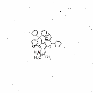 CC(=CC1=C(OC(c2ccccc2)c2ccccc2)N2C(=O)C(C(c3ccccc3)(c3ccccc3)c3ccccc3)C2S(=C=O)C1N)N(C)C